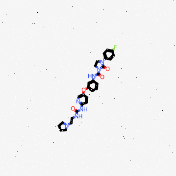 O=C(NCCN1CCCC1)Nc1ccc(Oc2cccc(NC(=O)N3CCN(c4ccc(F)cc4)C3=O)c2)cn1